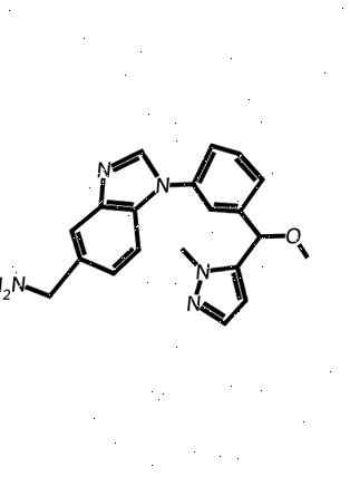 COC(c1cccc(-n2cnc3cc(CN)ccc32)c1)c1ccnn1C